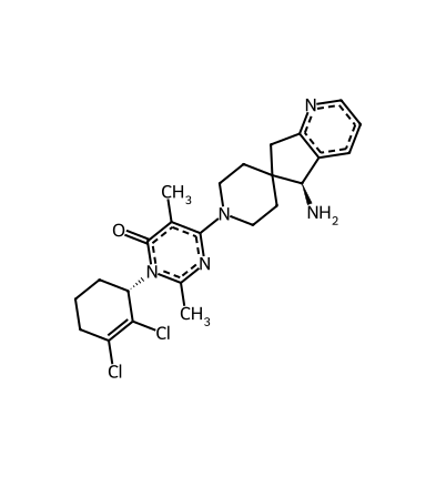 Cc1c(N2CCC3(CC2)Cc2ncccc2[C@H]3N)nc(C)n([C@H]2CCCC(Cl)=C2Cl)c1=O